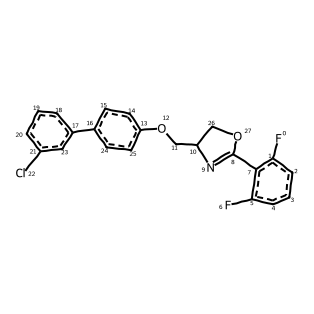 Fc1cccc(F)c1C1=NC(COc2ccc(-c3cccc(Cl)c3)cc2)CO1